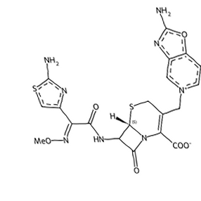 CON=C(C(=O)NC1C(=O)N2C(C(=O)[O-])=C(C[n+]3ccc4oc(N)nc4c3)CS[C@@H]12)c1csc(N)n1